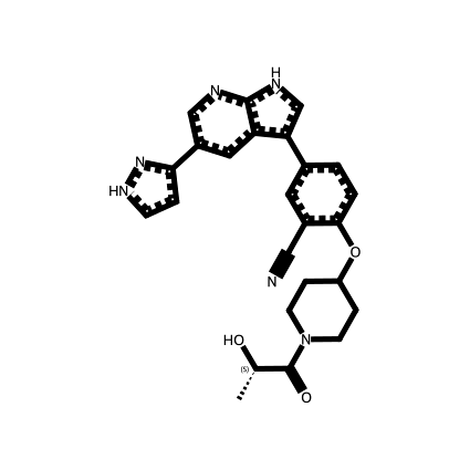 C[C@H](O)C(=O)N1CCC(Oc2ccc(-c3c[nH]c4ncc(-c5cc[nH]n5)cc34)cc2C#N)CC1